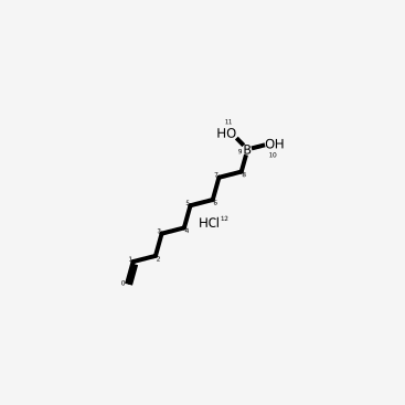 C=CCCCCCCCB(O)O.Cl